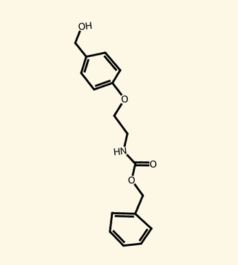 O=C(NCCOc1ccc(CO)cc1)OCc1ccccc1